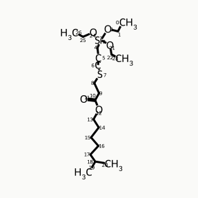 CCO[Si](CCCSCCC(=O)OCCCCCC(C)C)(OCC)OCC